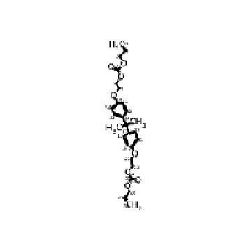 C=CCOC(=O)OCCOc1ccc(C(C)(C)c2ccc(OCCOC(=O)OCC=C)cc2)cc1